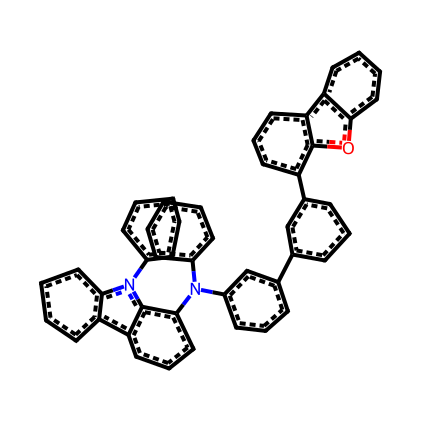 c1ccc(N(c2cccc(-c3cccc(-c4cccc5c4oc4ccccc45)c3)c2)c2cccc3c4ccccc4n(-c4ccccc4)c23)cc1